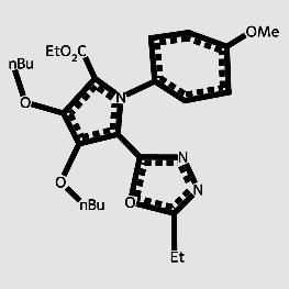 CCCCOc1c(OCCCC)c(-c2nnc(CC)o2)n(-c2ccc(OC)cc2)c1C(=O)OCC